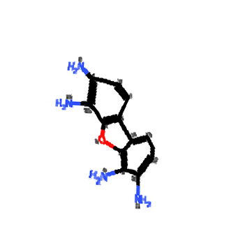 Nc1ccc2c(oc3c(N)c(N)ccc32)c1N